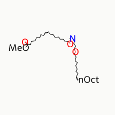 CCCCCCCC/C=C\CCCCCCCCOCCC(CN(C)C)OCCCCCCCC/C=C\CCCCCCCC(=O)OC